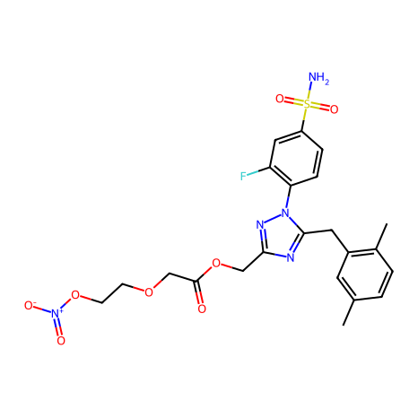 Cc1ccc(C)c(Cc2nc(COC(=O)COCCO[N+](=O)[O-])nn2-c2ccc(S(N)(=O)=O)cc2F)c1